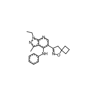 CCn1nc(C)c2c(Nc3ccccc3)c(C3=NOC4(CCC4)C3)cnc21